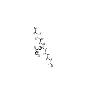 CCCCCCCCCCCCCCC.COC(C)=O